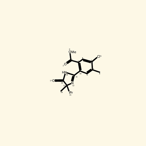 COC(=O)c1cc(Cl)c(C)cc1C1=NC(C)(C(C)C)C(=O)N1